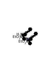 CCOC(=O)C1=C(c2ccccc2)c2ccc(OCCCc3ccccc3)cc2/C1=N/O.CCOC(=O)C1=C(c2ccccc2)c2ccc(OCCCc3ccccc3)cc2C1N